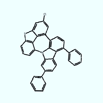 Clc1cc2sc3cccc4c3c2c(c1)c1ccc(-c2ccccc2)c2c3ccc(-c5ccccc5)cc3n4c12